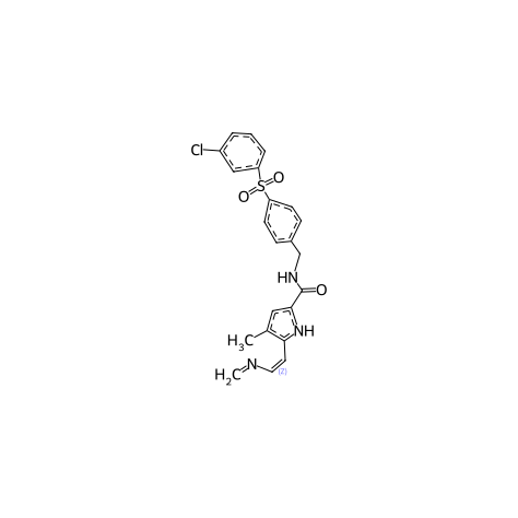 C=N/C=C\c1[nH]c(C(=O)NCc2ccc(S(=O)(=O)c3cccc(Cl)c3)cc2)cc1C